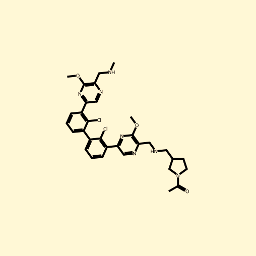 CNCc1ncc(-c2cccc(-c3cccc(-c4cnc(CNCC5CCN(C(C)=O)C5)c(OC)n4)c3Cl)c2Cl)nc1OC